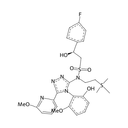 COC1=NC(c2nnc(N(CCS(C)(C)C)S(=O)(=O)C[C@@H](O)c3ccc(F)cc3)n2-c2c(O)cccc2OC)=C=C=C1